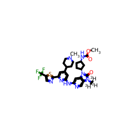 [2H]C([2H])([2H])n1c(=O)n([C@@H]2CC[C@@H](NC(=O)OC)C2)c2cc(Nc3cc(C4CCN(C)CC4)cc(-c4ncc(C(F)(F)F)s4)n3)ncc21